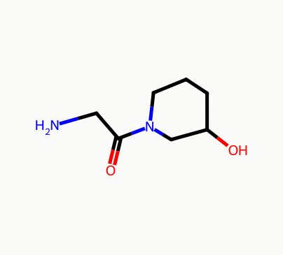 NCC(=O)N1CCCC(O)C1